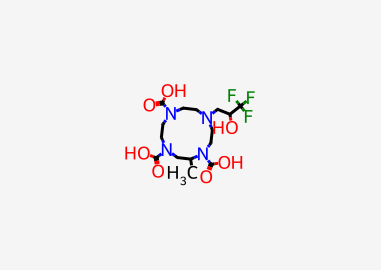 CC1CN(C(=O)O)CCN(C(=O)O)CCN(CC(O)C(F)(F)F)CCN1C(=O)O